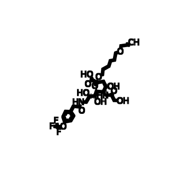 C#CCOCCCCCCO[C@]1(C(=O)O)C[C@H](O)[C@@H](NC(=O)CO)[C@H]([C@H](O)[C@H](O)CNC(=O)Cc2ccc(OC(F)(F)F)cc2)O1